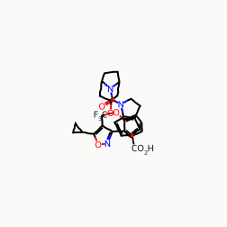 O=C(O)c1ccc2c(c1)CCN2C(=O)N1C2CCC1CC(OCc1c(-c3ccccc3OC(F)(F)F)noc1C1CC1)C2